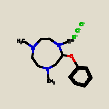 CN1CCN(C)CC(Oc2ccccc2)[N]([Ti+3])CC1.[Cl-].[Cl-].[Cl-]